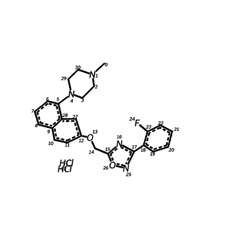 CN1CCN(c2cccc3ccc(OCc4nc(-c5ccccc5F)no4)cc23)CC1.Cl.Cl